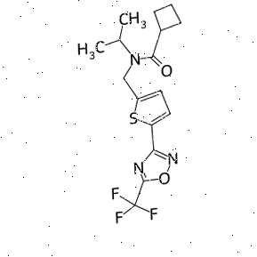 CC(C)N(Cc1ccc(-c2noc(C(F)(F)F)n2)s1)C(=O)C1CCC1